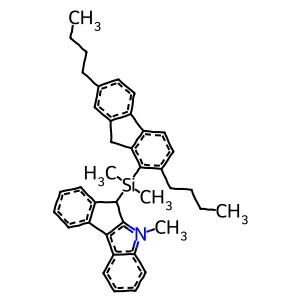 CCCCc1ccc2c(c1)Cc1c-2ccc(CCCC)c1[Si](C)(C)C1c2ccccc2-c2c1n(C)c1ccccc21